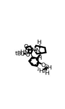 [2H]C([2H])([2H])Oc1cccc([C@H]2NCC[C@H]2N2[C@@H]3CC[C@H]2CN(C(=O)OC(C)(C)C)C3)c1C